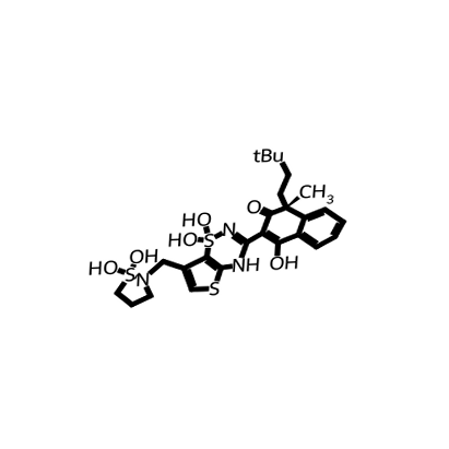 CC(C)(C)CC[C@@]1(C)C(=O)C(C2=NS(O)(O)c3c(CN4CCCS4(O)O)csc3N2)=C(O)c2ccccc21